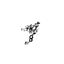 CC(C)(C)OC(=O)N1CC2(CC2)C[C@H]1c1ncc(-c2ccc3cc(Br)ccc3c2)[nH]1